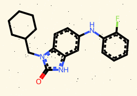 O=c1[nH]c2cc(Nc3ccccc3F)ccc2n1CC1CCCCC1